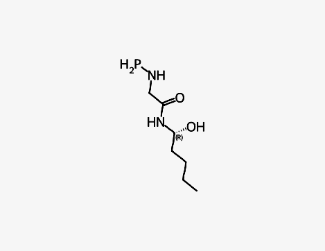 CCCC[C@@H](O)NC(=O)CNP